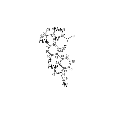 CCc1nnc2n1-c1c(cc(F)c(-c3cccc4c(C#N)c[nH]c34)c1F)NC2(C)C